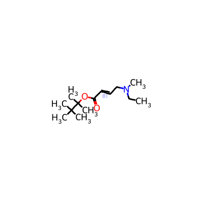 CCN(C)C/C=C/C(=O)OC(C)(C)C(C)(C)C